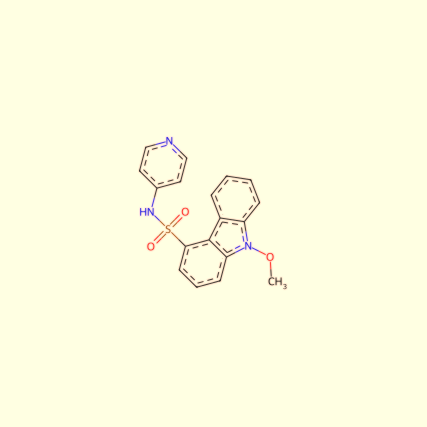 COn1c2ccccc2c2c(S(=O)(=O)Nc3ccncc3)cccc21